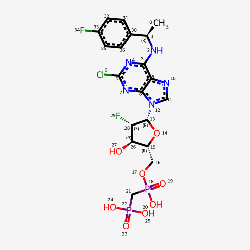 C[C@@H](Nc1nc(Cl)nc2c1ncn2[C@@H]1O[C@H](COP(=O)(O)CP(=O)(O)O)[C@@H](O)[C@@H]1F)c1ccc(F)cc1